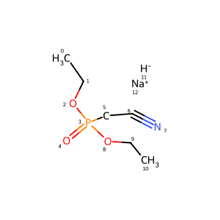 CCOP(=O)(CC#N)OCC.[H-].[Na+]